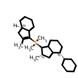 CC1=C(S(C)(C)C2C3CCC[C@H](C4CCCCC4)C3C[C@@H]2C)C2CCCC[C@@H]2C1